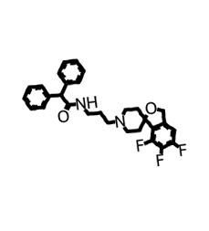 O=C(NCCCN1CCC2(CC1)OCc1cc(F)c(F)c(F)c12)C(c1ccccc1)c1ccccc1